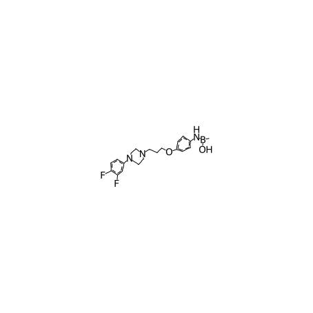 CB(O)Nc1ccc(OCCCN2CCN(c3ccc(F)c(F)c3)CC2)cc1